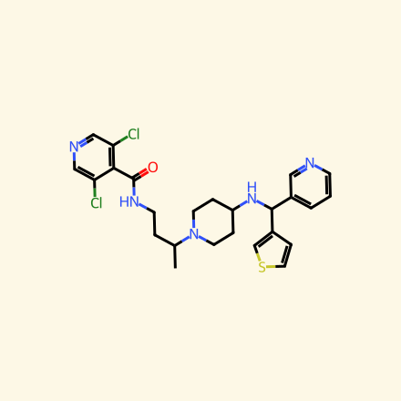 CC(CCNC(=O)c1c(Cl)cncc1Cl)N1CCC(NC(c2cccnc2)c2ccsc2)CC1